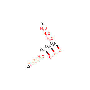 O.O.O.O.O.O.O=[N+]([O-])[O-].O=[N+]([O-])[O-].O=[N+]([O-])[O-].[Y].[Zr]